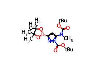 CN(C(=O)OC(C)(C)C)c1cc(B2OC(C)(C)C(C)(C)O2)nn1C(=O)OC(C)(C)C